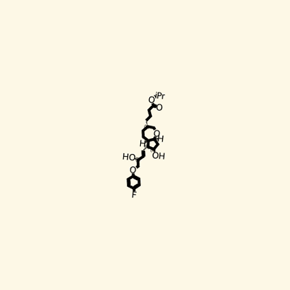 CC(C)OC(=O)CCC[C@H]1CC[C@@H]2[C@@H](C=C[C@@H](O)COc3ccc(F)cc3)[C@H](O)C[C@@H]2OC1